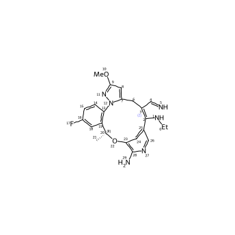 CCN/C1=C(\C=N)Cc2cc(OC)nn2-c2ccc(F)cc2[C@@H](C)Oc2cc1cnc2N